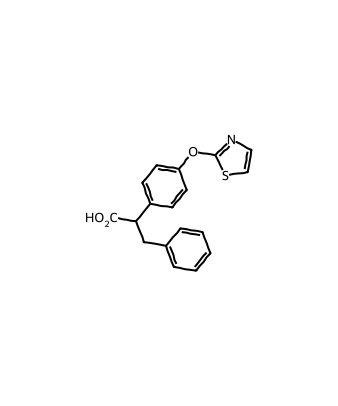 O=C(O)C(Cc1ccccc1)c1ccc(Oc2nccs2)cc1